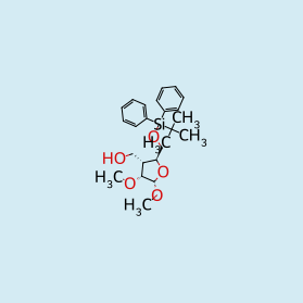 CO[C@H]1O[C@H](CO[Si](c2ccccc2)(c2ccccc2)C(C)(C)C)[C@@H](CO)[C@H]1OC